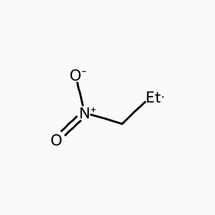 C[CH]C[N+](=O)[O-]